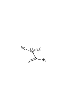 NC(=O)NO.O